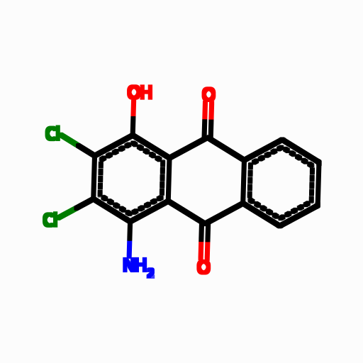 Nc1c(Cl)c(Cl)c(O)c2c1C(=O)c1ccccc1C2=O